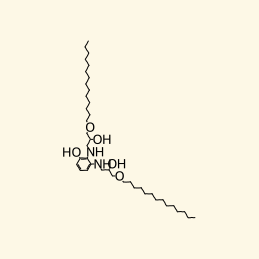 CCCCCCCCCCCCCCOCC(O)CNc1cccc(O)c1NCC(O)COCCCCCCCCCCCCCC